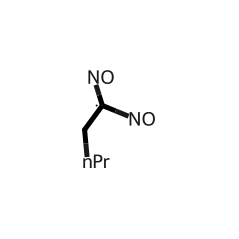 [CH2]CCC[C](N=O)N=O